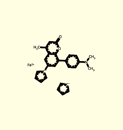 Cc1cc(=O)oc2c(-c3ccc(N(C)C)cc3)cc(-[c-]3cccc3)cc12.[Fe+2].c1cc[cH-]c1